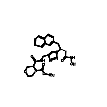 CC(C)(C)OC(=O)N1CCOCC1C(=O)NCc1cn([C@@H](CC(=O)NO)Cc2ccc3ccccc3c2)nn1